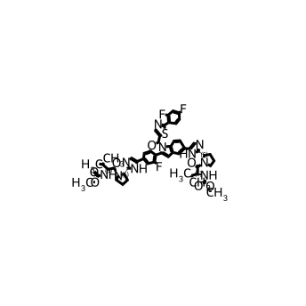 COC(=O)N[C@H](C(=O)N1CCC[C@H]1c1ncc(-c2cc(F)c3c(c2)OC(c2cnc(-c4ccc(F)cc4F)s2)n2c-3cc3cc(-c4cnc([C@@H]5CCCN5C(=O)[C@@H](NC(=O)OC)C(C)C)[nH]4)ccc32)[nH]1)C(C)C